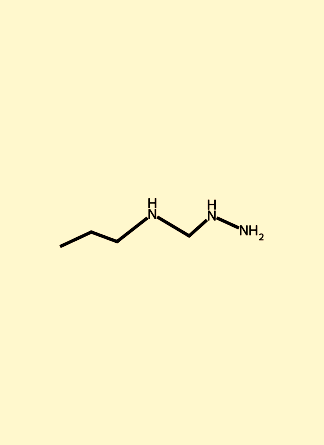 CCCNCNN